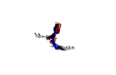 COCCN(C)c1nc(C(=O)Nc2ccc(CN3CCO[C@@H](C)C3)cc2C(=O)OC)cs1